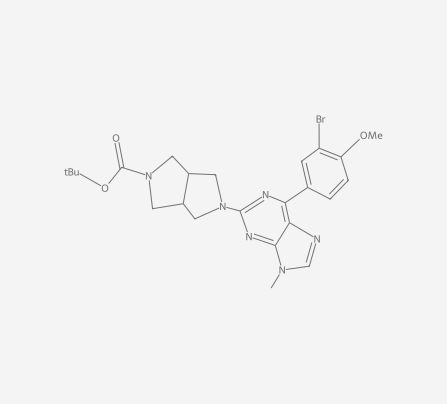 COc1ccc(-c2nc(N3CC4CN(C(=O)OC(C)(C)C)CC4C3)nc3c2ncn3C)cc1Br